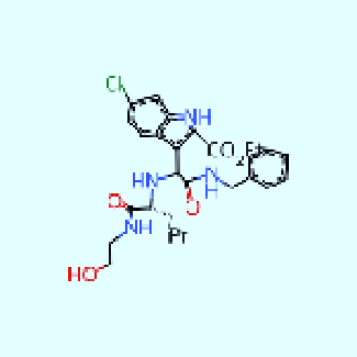 CCOC(=O)c1[nH]c2cc(Cl)ccc2c1C(N[C@H](CC(C)C)C(=O)NCCO)C(=O)NCc1ccccc1